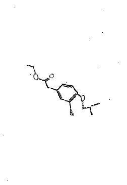 CCOC(=O)Cc1ccc(OCC(C)C)c(Br)c1